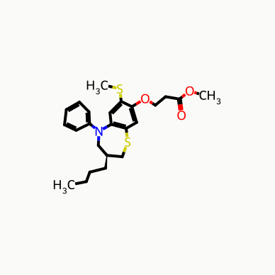 CCCC[C@@H]1CSc2cc(OCCC(=O)OC)c(SC)cc2N(c2ccccc2)C1